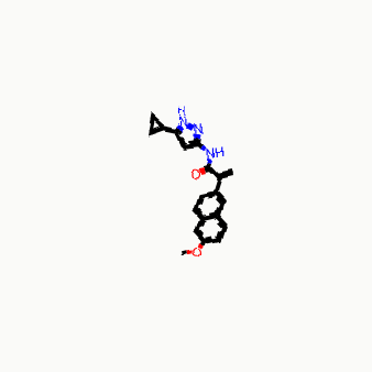 C=C(C(=O)Nc1cc(C2CC2)[nH]n1)c1ccc2cc(OC)ccc2c1